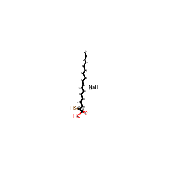 CCCCCCCCCCCCCCCCC(S)C(=O)O.[NaH]